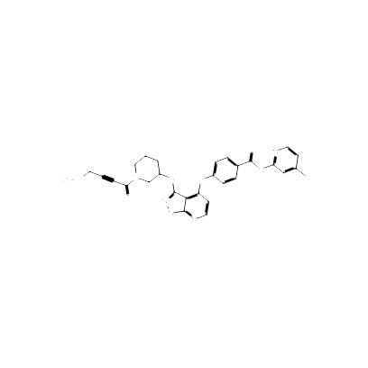 COCC#CC(=O)N1CCCC(Nc2n[nH]c3nccc(Oc4ccc(C(=O)Nc5cc(C)ccn5)cc4)c23)C1